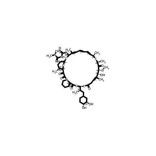 CO[C@H]1C(=O)[C@H](C)C[C@H](C)/C=C/C=C/C=C(\C)C(NC(=N)NC(=N)N(C)C)C[C@@H]2CC[C@@H](C)[C@@](O)(O2)C(=O)C(=O)N2CCCC[C@H]2C(=O)O[C@H]([C@H](C)CC2CC[C@@H](O)[C@H](O)C2)CC(=O)C/C=C(\C)[C@H]1O